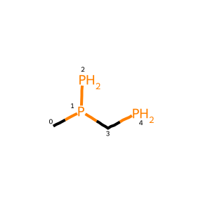 CP(P)CP